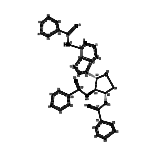 O=C(Nc1ncnc2c1ncn2[C@@H]1OC[C@H](OC(=O)c2ccccc2)[C@H]1OC(=O)c1ccccc1)c1ccccc1